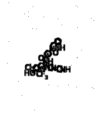 O=C(N[C@H](Cc1cc(Cl)c(O)c(C(F)(F)F)c1)C(=O)N1CCN(C2CCNCC2)CC1)N1CCC(N2CCc3ccccc3NC2=O)CC1